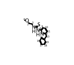 COCCNC(=S)Nc1cccc(Cc2ccccc2)n1